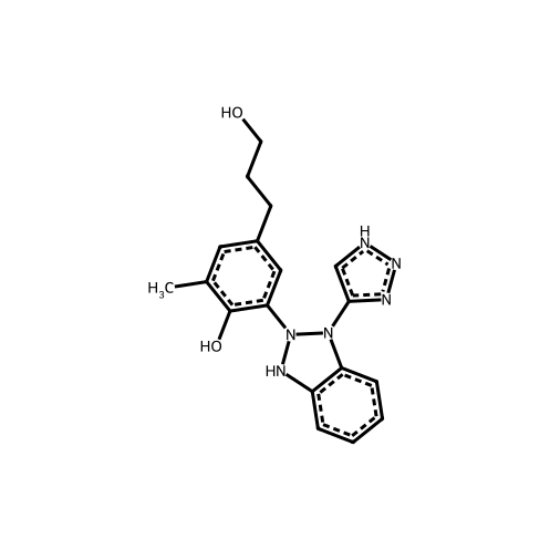 Cc1cc(CCCO)cc(N2Nc3ccccc3N2c2c[nH]nn2)c1O